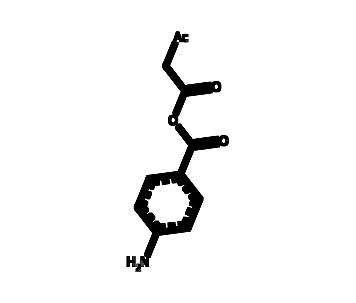 CC(=O)CC(=O)OC(=O)c1ccc(N)cc1